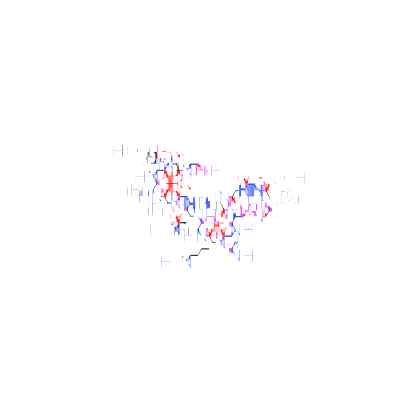 CC[C@H](C)[C@H](NC(=O)CNC(=O)[C@H](CC(=O)O)NC(=O)[C@@H](NC(=O)[C@H](C)N)[C@@H](C)CC)C(=O)N[C@H](C(=O)N[C@@H](CC(N)=O)C(=O)N[C@@H](CCCCN)C(=O)N[C@H](C(=O)N[C@@H](CC(N)=O)C(=O)N[C@@H](CO)C(=O)N[C@H](C(=O)N[C@H](C(=O)N[C@@H](CCC(=O)O)C(=O)N[C@@H](CO)C(=O)N[C@@H](CO)C(=O)O)[C@@H](C)CC)C(C)C)C(C)C)[C@@H](C)O